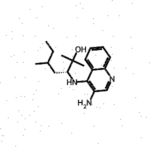 CCC(C)C[C@@H](Nc1c(N)cnc2ccccc12)C(C)(C)O